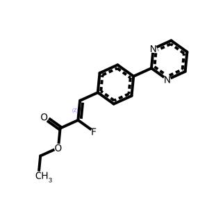 CCOC(=O)/C(F)=C/c1ccc(-c2ncccn2)cc1